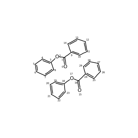 O=C(Oc1ccccc1)c1ccccc1.O=C(Oc1ccccc1)c1ccccc1